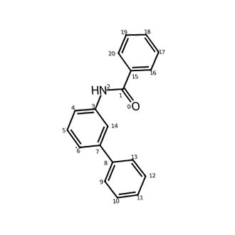 O=C(Nc1cc[c]c(-c2ccccc2)c1)c1ccccc1